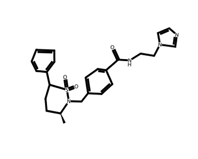 C[C@H]1CCC(c2ccccc2)S(=O)(=O)N1Cc1ccc(C(=O)NCCn2ccnc2)cc1